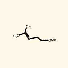 COCCN=C(C)C